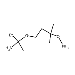 CCC(C)(N)OCCC(C)(C)ON